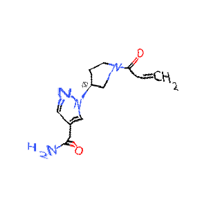 C=CC(=O)N1CC[C@H](n2cc(C(N)=O)cn2)C1